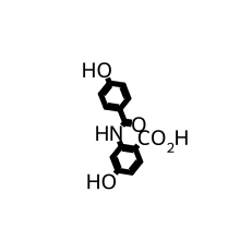 O=C(Nc1cc(O)ccc1C(=O)O)c1ccc(O)cc1